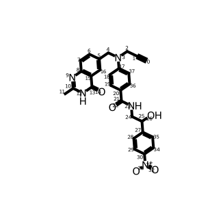 C#CCN(Cc1ccc2nc(C)[nH]c(=O)c2c1)c1ccc(C(=O)NCC(O)c2ccc([N+](=O)[O-])cc2)cc1